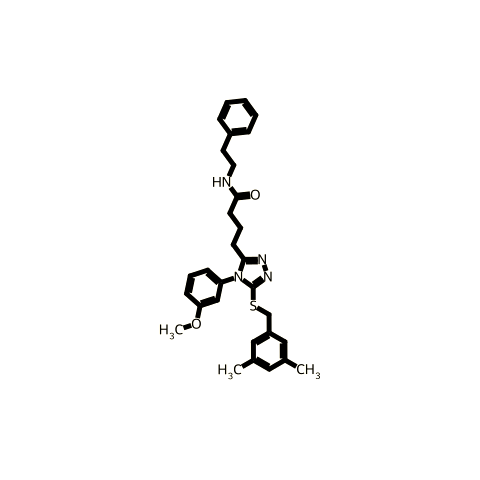 COc1cccc(-n2c(CCCC(=O)NCCc3ccccc3)nnc2SCc2cc(C)cc(C)c2)c1